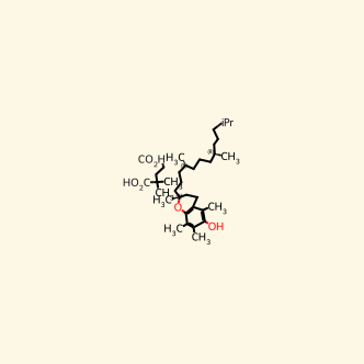 CC(C)(CCC(=O)O)C(=O)O.Cc1c(C)c2c(c(C)c1O)CC[C@@](C)(CCC[C@H](C)CCC[C@H](C)CCCC(C)C)O2